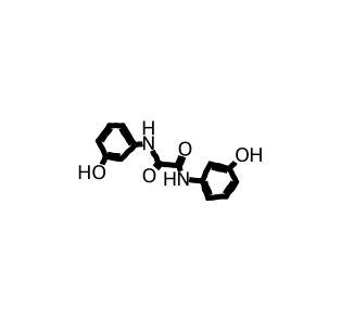 O=C(Nc1cccc(O)c1)C(=O)Nc1cccc(O)c1